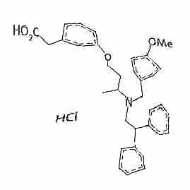 COc1ccc(CN(CC(c2ccccc2)c2ccccc2)C(C)CCOc2cccc(CC(=O)O)c2)cc1.Cl